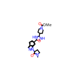 COC(=O)N1CCC(C2NOC(c3ccc4cnn(C5CCN(C)C5=O)c4c3)N2)CC1